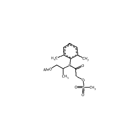 COCC(C)N(C(=O)COS(C)(=O)=O)c1c(C)cccc1C